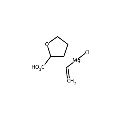 C=[CH][Mg][Cl].O=C(O)C1CCCO1